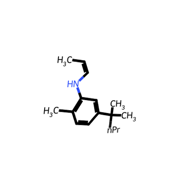 C/C=C\Nc1cc(C(C)(C)CCC)ccc1C